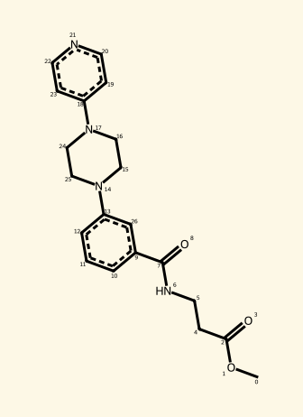 COC(=O)CCNC(=O)c1cccc(N2CCN(c3ccncc3)CC2)c1